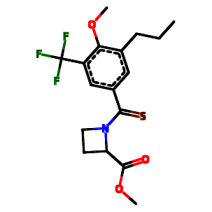 CCCc1cc(C(=S)N2CCC2C(=O)OC)cc(C(F)(F)F)c1OC